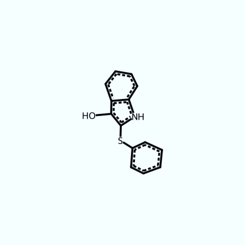 Oc1c(Sc2ccccc2)[nH]c2ccccc12